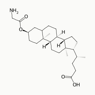 C[C@H](CCC(=O)O)[C@H]1CC[C@H]2[C@@H]3CCC4C[C@H](OC(=O)CN)CC[C@]4(C)[C@H]3CC[C@]12C